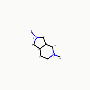 CN1CCC2CN(I)CC2C1